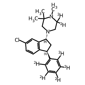 [2H]c1c([2H])c([2H])c([C@@H]2C[C@@H](N3CC([2H])([2H])N(C)C(C)(C)C3)c3cc(Cl)ccc32)c([2H])c1[2H]